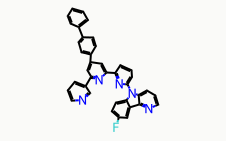 Fc1ccc2c(c1)c1ncccc1n2-c1cccc(-c2cc(-c3ccc(-c4ccccc4)cc3)cc(-c3cccnc3)n2)n1